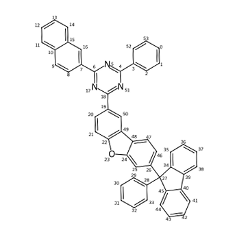 c1ccc(-c2nc(-c3ccc4ccccc4c3)nc(-c3ccc4oc5cc(C6(c7ccccc7)c7ccccc7-c7ccccc76)ccc5c4c3)n2)cc1